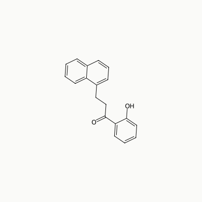 O=C(CCc1cccc2ccccc12)c1ccccc1O